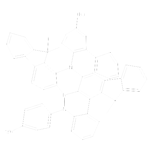 CC(C)(C)c1ccc(N2B3c4ccc5c(c4N(c4ccc(C(C)(C)C)cc4-c4ccccc4)c4cc6c(c(c43)-c3ccccc32)C(C)(C)c2ccccc2-6)C(C)(C)c2ccccc2-5)cc1